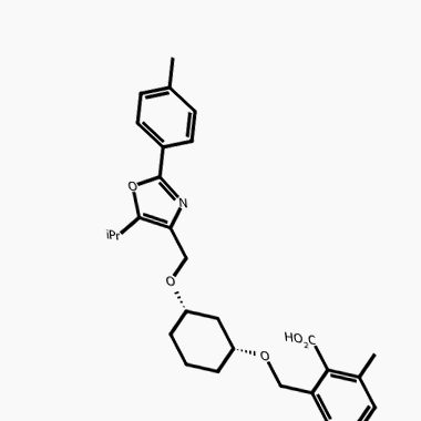 Cc1ccc(-c2nc(CO[C@H]3CCC[C@@H](OCc4cccc(C)c4C(=O)O)C3)c(C(C)C)o2)cc1